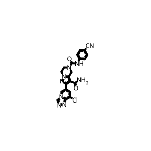 N#Cc1ccc(NC(=O)N2CCn3nc(-c4cc(Cl)c5nncn5c4)c(C(N)=O)c3C2)cc1